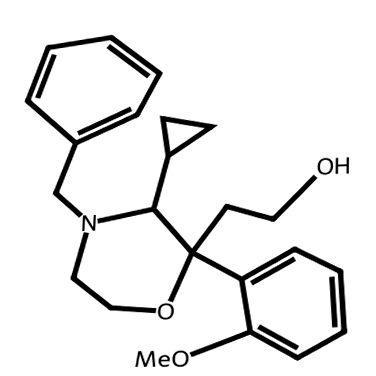 COc1ccccc1C1(CCO)OCCN(Cc2ccccc2)C1C1CC1